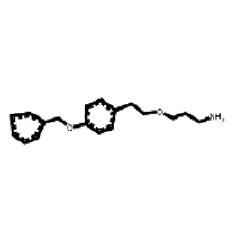 NCCCOCCc1ccc(OCc2ccccc2)cc1